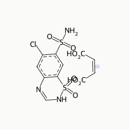 NS(=O)(=O)c1cc2c(cc1Cl)N=CNS2(=O)=O.O=C(O)/C=C\C(=O)O